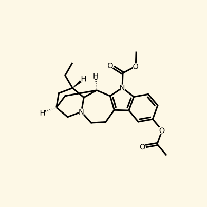 CC[C@H]1C[C@H]2C[C@H]3c4c(c5cc(OC(C)=O)ccc5n4C(=O)OC)CCN(C2)C13